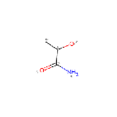 CC([O])C(N)=O